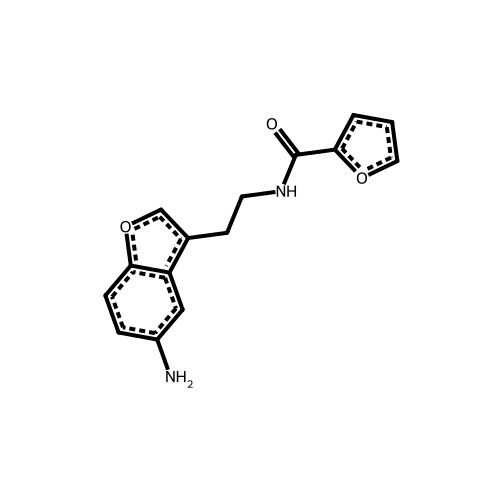 Nc1ccc2occ(CCNC(=O)c3ccco3)c2c1